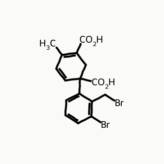 CC1=C(C(=O)O)CC(C(=O)O)(c2cccc(Br)c2CBr)C=C1